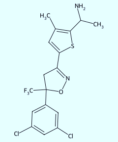 Cc1cc(C2=NOC(c3cc(Cl)cc(Cl)c3)(C(F)(F)F)C2)sc1C(C)N